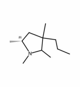 CCCC1(C)C[C@@H](C)N(C)C1C